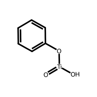 [O]=[Ti]([OH])[O]c1ccccc1